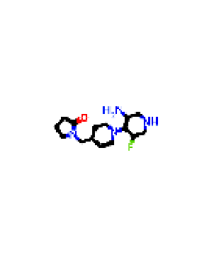 NC1CNCC(F)C1N1CCC(CN2CCCC2=O)CC1